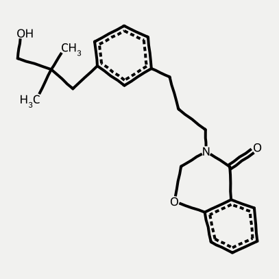 CC(C)(CO)Cc1cccc(CCCN2COc3ccccc3C2=O)c1